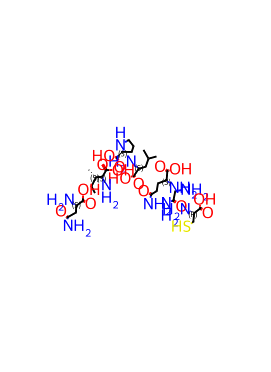 CC(C)C[C@H](N)C(=O)O.CC[C@H](C)[C@H](N)C(=O)O.NC(=O)CC[C@H](N)C(=O)O.NC(=O)C[C@H](N)C(=O)O.NCC(N)=O.N[C@@H](CS)C(=O)O.O=C(O)[C@@H]1CCCN1